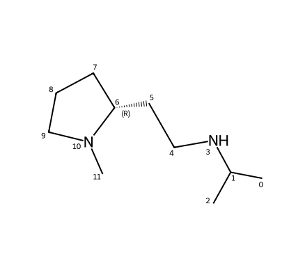 CC(C)NCC[C@H]1CCCN1C